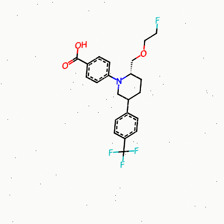 O=C(O)c1ccc(N2CC(c3ccc(C(F)(F)F)cc3)CC[C@H]2COCCF)cc1